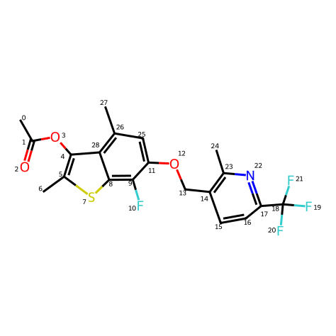 CC(=O)Oc1c(C)sc2c(F)c(OCc3ccc(C(F)(F)F)nc3C)cc(C)c12